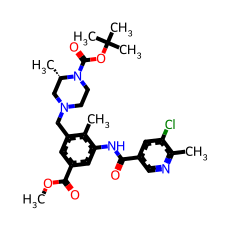 COC(=O)c1cc(CN2CCN(C(=O)OC(C)(C)C)[C@@H](C)C2)c(C)c(NC(=O)c2cnc(C)c(Cl)c2)c1